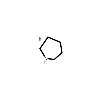 C1CCNCC1.[Ir]